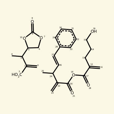 C=C(C(=O)O)C(C)C1COC(=O)O1.C=C(CCCO)C(=O)OC(=O)C(=C)C(C)C=Cc1ccccc1